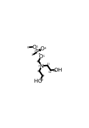 COP(C)(=O)OCN(CCO)CCO